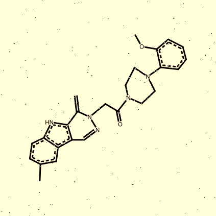 C=C1c2[nH]c3ccc(C)cc3c2C=NN1CC(=O)N1CCN(c2ccccc2OC)CC1